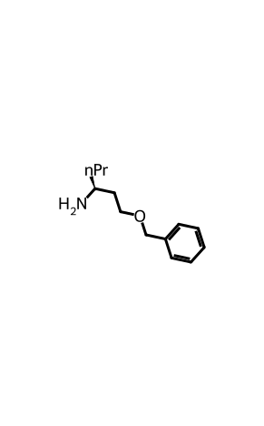 CCC[C@H](N)CCOCc1ccccc1